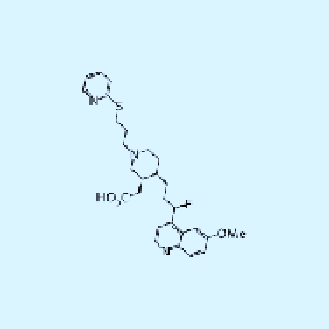 COc1ccc2nccc([C@H](F)CC[C@@H]3CCN(CCCSc4ccccn4)C[C@@H]3CC(=O)O)c2c1